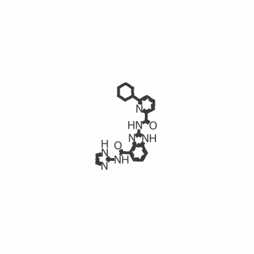 O=C(Nc1nc2c(C(=O)Nc3ncc[nH]3)cccc2[nH]1)c1cccc(C2CCCCC2)n1